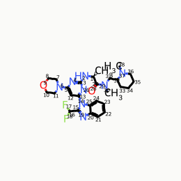 C[C@H](Nc1nc(N2CCOCC2)cc(-n2c(C(F)F)nc3ccccc32)n1)C(=O)N(C)CC1CCCCN1C